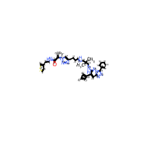 CC(C)C(C(=O)NCCc1ccsc1)n1cc(CCCNCC(C)(C)CNc2nn3c(-c4ccccc4)nnc3cc2C2=CC=C2)nn1